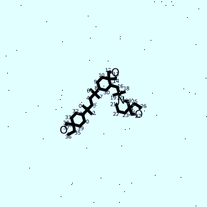 CC(C)(CCC(C)(C)C1CCC2(COC2)C(CC(C)(C)N2CCCC3(CCOC3)C2)C1)C1CCC2(CCOC2)CC1